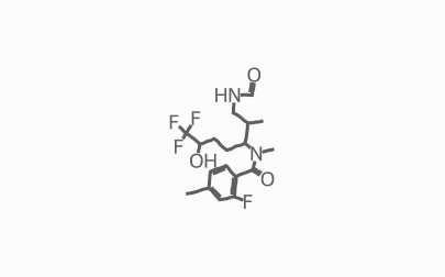 Cc1ccc(C(=O)N(C)C(CCC(O)C(F)(F)F)C(C)CNC=O)c(F)c1